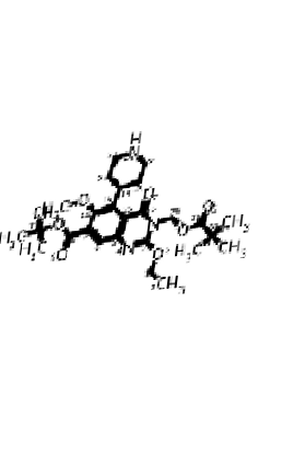 CCOc1nc2cc(C(=O)OC(C)(C)C)c(OC)c(C3CCNCC3)c2c(=O)n1COC(=O)C(C)(C)C